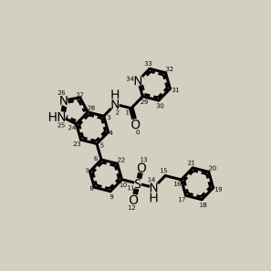 O=C(Nc1cc(-c2cccc(S(=O)(=O)NCc3ccccc3)c2)cc2[nH]ncc12)c1ccccn1